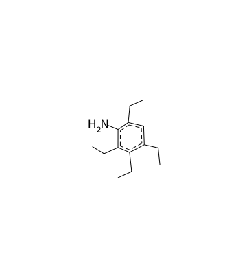 CCc1cc(CC)c(CC)c(CC)c1N